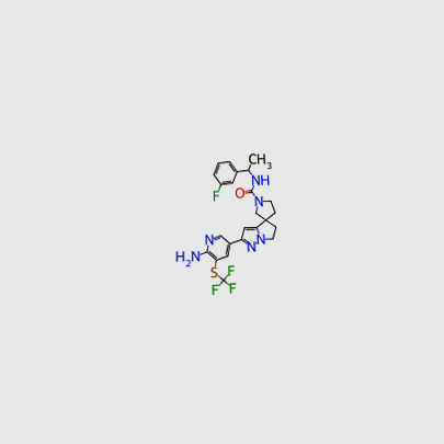 CC(NC(=O)N1CCC2(CCn3nc(-c4cnc(N)c(SC(F)(F)F)c4)cc32)C1)c1cccc(F)c1